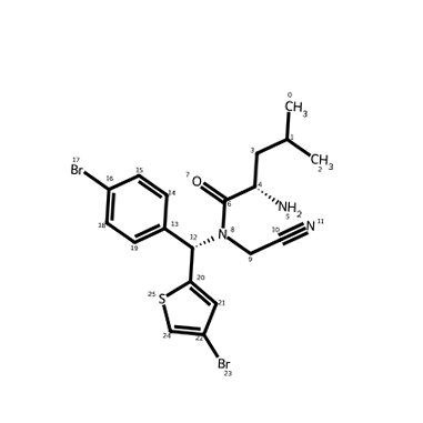 CC(C)C[C@H](N)C(=O)N(CC#N)[C@@H](c1ccc(Br)cc1)c1cc(Br)cs1